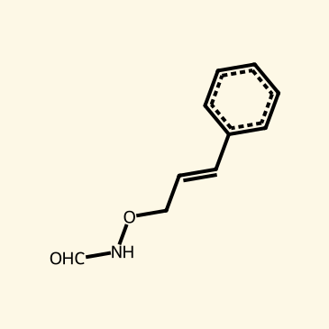 O=CNOC/C=C/c1ccccc1